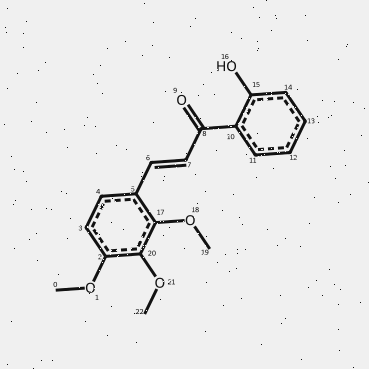 COc1ccc(C=CC(=O)c2ccccc2O)c(OC)c1OC